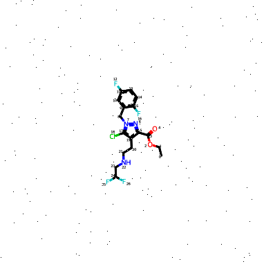 CCOC(=O)c1nn(Cc2cc(F)ccc2F)c(Cl)c1CCNCC(F)F